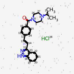 CC(C)N1CCN(C(=O)c2ccc(/C=C/c3n[nH]c4ccccc34)cc2)CC1.Cl